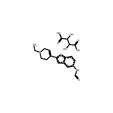 CCN1CC=C(c2cc3cc(NC=O)ccc3s2)CC1.O=C(O)C(O)C(O)C(=O)O